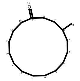 CC1CCCCCCCCCCCCC(=O)CC1